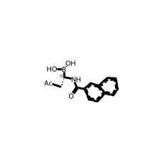 CC(=O)C[C@@H](NC(=O)c1ccc2ccccc2c1)B(O)O